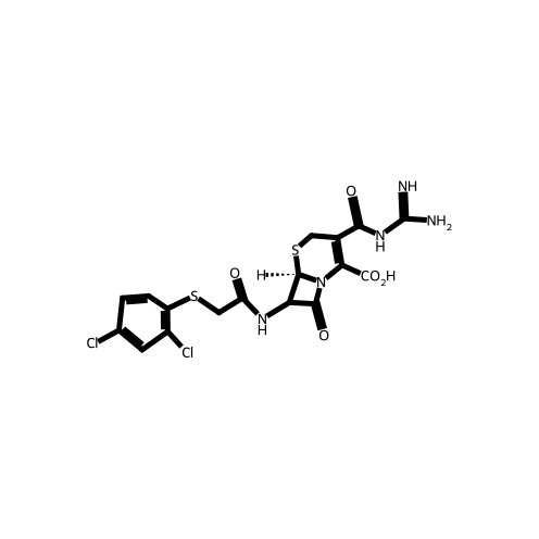 N=C(N)NC(=O)C1=C(C(=O)O)N2C(=O)C(NC(=O)CSc3ccc(Cl)cc3Cl)[C@H]2SC1